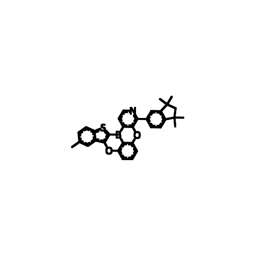 Cc1ccc2sc3c(c2c1)Oc1cccc2c1B3c1ccnc(-c3ccc4c(c3)C(C)(C)CC4(C)C)c1O2